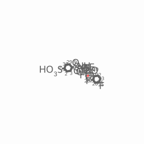 O=S(=O)(O)c1ccc(S(=O)(=O)NS(=O)(=O)C(F)(F)C(F)(F)S(=O)(=O)c2ccc(F)cc2F)cc1